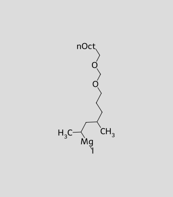 CCCCCCCCCOCOCCCC(C)C[CH](C)[Mg][I]